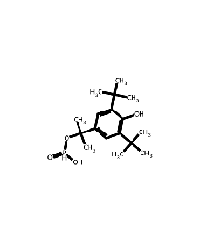 CC(C)(C)c1cc(C(C)(C)O[PH](=O)O)cc(C(C)(C)C)c1O